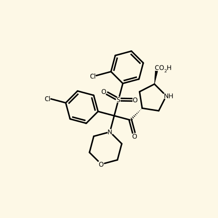 O=C(O)[C@@H]1C[C@@H](C(=O)C(c2ccc(Cl)cc2)(N2CCOCC2)S(=O)(=O)c2ccccc2Cl)CN1